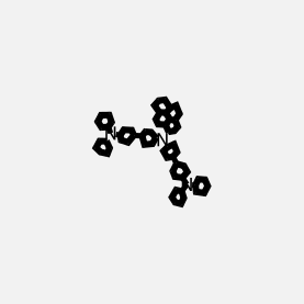 c1ccc(N(c2ccccc2)c2ccc(-c3ccc(N(c4ccc(-c5ccc(N(c6ccccc6)c6ccccc6)cc5)cc4)c4ccc5ccc6cccc7ccc4c5c67)cc3)cc2)cc1